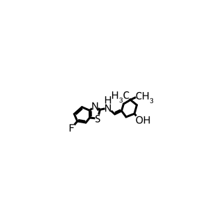 CC1(C)C/C(=C\Nc2nc3ccc(F)cc3s2)CC(O)C1